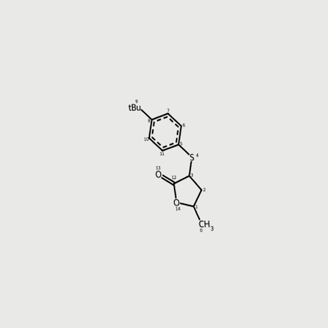 CC1CC(Sc2ccc(C(C)(C)C)cc2)C(=O)O1